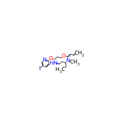 C=C/C=C(/OCCCOc1ccc(I)cn1)N(C)C(CC)CC=N